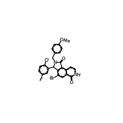 COc1ccc(CN2C(=O)c3c(c(Br)cc4c(=O)[nH]ccc34)C2c2cc(F)ccc2Cl)cc1